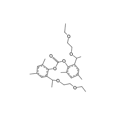 CCOCCOC(C)c1cc(C)cc(C)c1OC(=O)Oc1c(C)cc(C)cc1C(C)OCCOCC